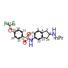 CCCNC1Cc2ccc(NS(=O)(=O)c3ccc(OC(F)F)cc3)cc2C1